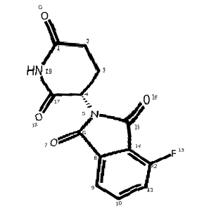 O=C1CC[C@H](N2C(=O)c3cccc(F)c3C2=O)C(=O)N1